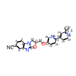 N#Cc1ccc2c(c1)nc1n2C[C@@H](COc2ccc(-c3ccnc(C(F)(F)F)c3)nc2)O1